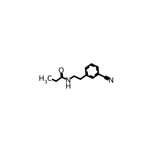 CCC(=O)NCCc1cccc(C#N)c1